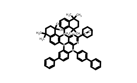 CC1(C)CCC(C)(C)c2c(N3c4nc(C56CCC(CC5)CC6)nc5c4B(c4cc(-c6ccccc6)ccc4N5c4ccc(-c5ccccc5)cc4)c4ccc5c(c43)C(C)(C)CCC5(C)C)cccc21